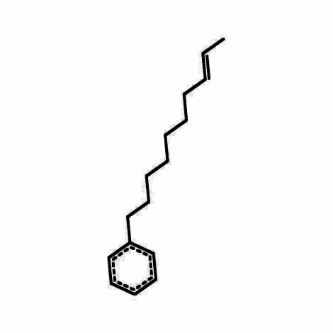 CC=CCCCCCCCc1ccccc1